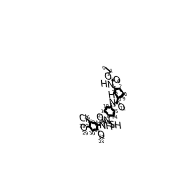 CCOC(=O)Nc1cccc(C(=O)Nc2ccc(N(S)C(=O)Nc3cc(Cl)c(OC)cc3OC)cc2)c1